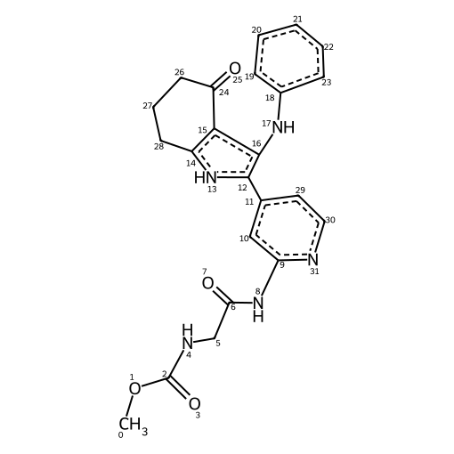 COC(=O)NCC(=O)Nc1cc(-c2[nH]c3c(c2Nc2ccccc2)C(=O)CCC3)ccn1